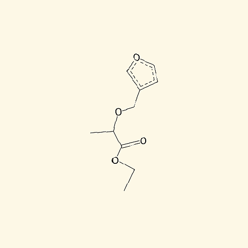 CCOC(=O)C(C)OCc1ccoc1